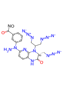 [N-]=[N+]=NCC(CN=[N+]=[N-])N1c2nc(N(N)c3cccc(C(=O)N=O)c3)ccc2NC(=O)[C@H]1CN=[N+]=[N-]